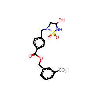 O=C(O)c1cccc(COC(=O)c2ccc(CN3CC(O)NS3(=O)=O)cc2)c1